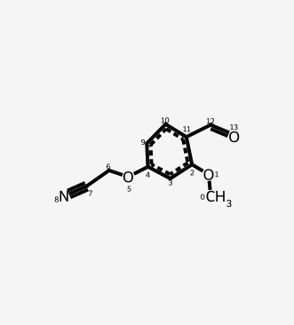 COc1cc(OCC#N)ccc1C=O